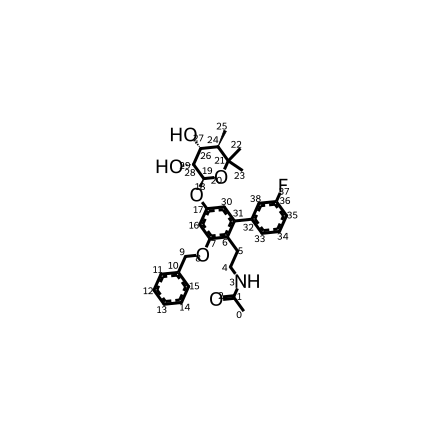 CC(=O)NCCc1c(OCc2ccccc2)cc(O[C@@H]2OC(C)(C)[C@H](C)[C@@H](O)[C@H]2O)cc1-c1cccc(F)c1